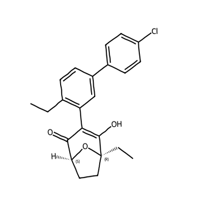 CCc1ccc(-c2ccc(Cl)cc2)cc1C1=C(O)[C@@]2(CC)CC[C@H](O2)C1=O